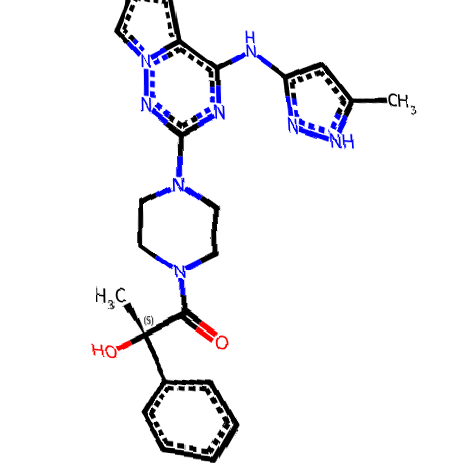 Cc1cc(Nc2nc(N3CCN(C(=O)[C@@](C)(O)c4ccccc4)CC3)nn3cccc23)n[nH]1